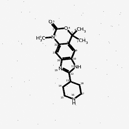 CN1C(=O)OC(C)(C)c2cc3[nH]c(C4CCNCC4)nc3cc21